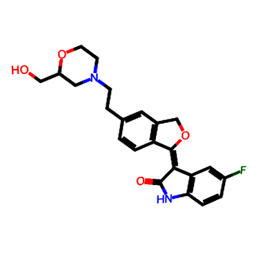 O=C1Nc2ccc(F)cc2C1=C1OCc2cc(CCN3CCOC(CO)C3)ccc21